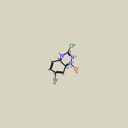 [O-][n+]1nc(Cl)nc2ccc(Br)cc21